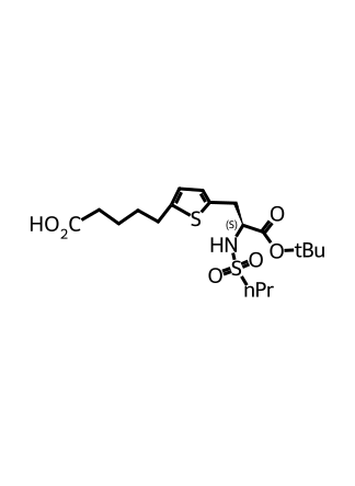 CCCS(=O)(=O)N[C@@H](Cc1ccc(CCCCC(=O)O)s1)C(=O)OC(C)(C)C